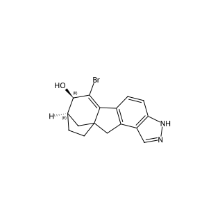 O[C@H]1C(Br)=C2c3ccc4[nH]ncc4c3CC23CC[C@@H]1C3